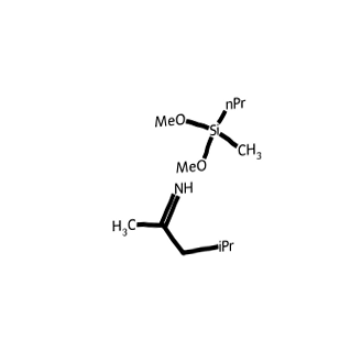 CC(=N)CC(C)C.CCC[Si](C)(OC)OC